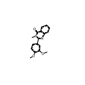 COc1ccc(-c2nc3ccccc3c(=O)n2C)cc1OC